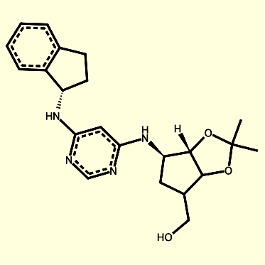 CC1(C)OC2C(CO)C[C@@H](Nc3cc(N[C@H]4CCc5ccccc54)ncn3)[C@@H]2O1